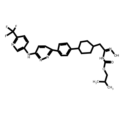 CC(C)COC(=O)N/C(CC1CCC(c2ccc(-c3ccc(Nc4ccc(C(F)(F)F)nc4)nn3)cc2)CC1)=N\O